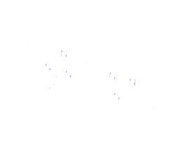 O=c1nc(-c2ccccc2)nc(-c2ccccc2)n1-c1cccc(-c2nc(-c3ccccc3)nc(-c3ccccc3)n2)c1